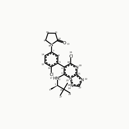 C[C@@H](Nc1c(-c2cc(N3CCCC3=O)ccc2Cl)c(Cl)nc2ncnn12)C(C)(C)C